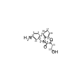 Nc1cccc(CN2C(=O)C(CCO)Oc3ccccc32)c1